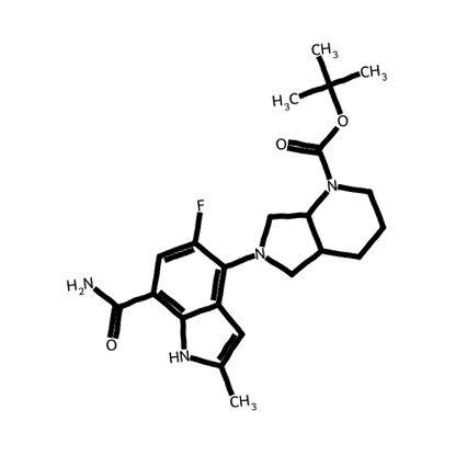 Cc1cc2c(N3CC4CCCN(C(=O)OC(C)(C)C)C4C3)c(F)cc(C(N)=O)c2[nH]1